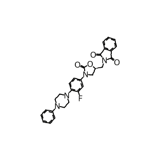 O=C1c2ccccc2C(=O)N1C[C@H]1CN(c2ccc(N3CCN(c4ccccc4)CC3)c(F)c2)C(=O)O1